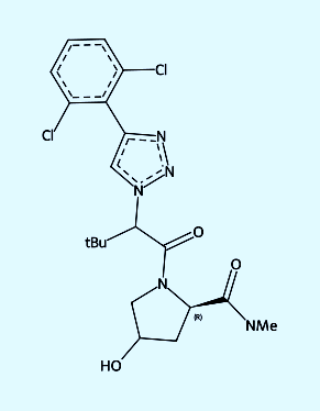 CNC(=O)[C@H]1CC(O)CN1C(=O)C(n1cc(-c2c(Cl)cccc2Cl)nn1)C(C)(C)C